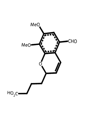 COc1cc(C=O)c2c(c1OC)OC(CCCC(=O)O)C=C2